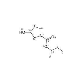 CCC(C)OC(=O)N1CCC(O)C1